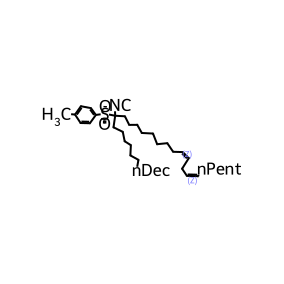 [C-]#[N+]C(CCCCCCCC/C=C\C/C=C\CCCCC)(CCCCCCCCCCCCCCCC)S(=O)(=O)c1ccc(C)cc1